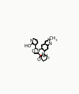 Cn1cc2cc(N3C(C(N)=O)=COC3c3cccnc3O)c(N3CCCCC3)cc2n1